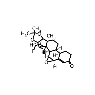 CC1(C)O[C@@H]2C[C@H]3[C@H]4[C@H](CC[C@]3(C)[C@]2(C(=O)CF)O1)[C@H]1CCC(=O)C=C1[C@H]1O[C@@H]41